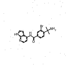 CC(C)(N)c1ccc(C(=O)Nc2ccnc3[nH]ccc23)cc1Br